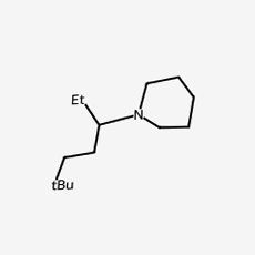 [CH2]CC(CCC(C)(C)C)N1CCCCC1